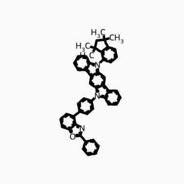 CC1(C)CC(C)(C)c2c(-n3c4ccccc4c4cc5c(cc43)c3ccccc3n5-c3ccc(-c4cccc5oc(-c6ccccc6)nc45)cc3)cccc21